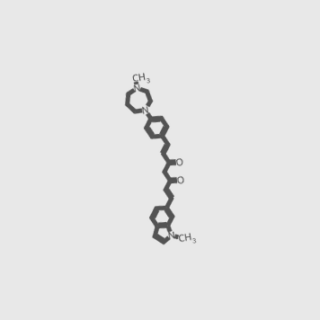 CN1CCCN(c2ccc(/C=C/C(=O)CC(=O)/C=C/c3ccc4ccn(C)c4c3)cc2)CC1